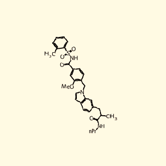 CCCNC(=O)C(C)Cc1ccc2ccn(Cc3ccc(C(=O)NS(=O)(=O)c4ccccc4C)cc3OC)c2c1